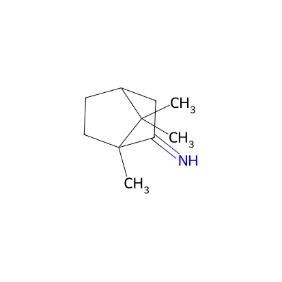 CC12CCC(CC1=N)C2(C)C